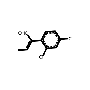 CC=C(C=O)c1ccc(Cl)cc1Cl